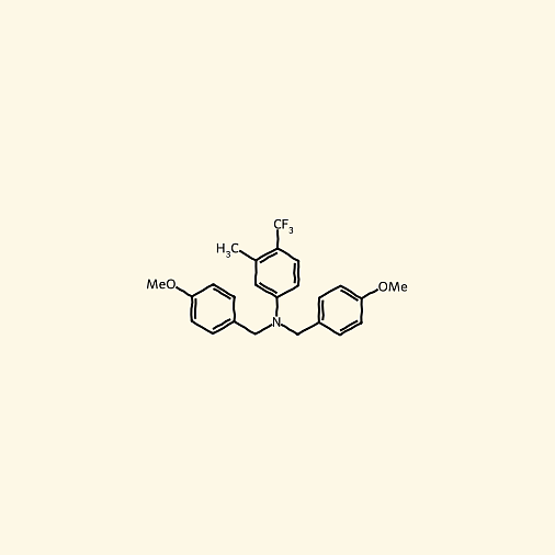 COc1ccc(CN(Cc2ccc(OC)cc2)c2ccc(C(F)(F)F)c(C)c2)cc1